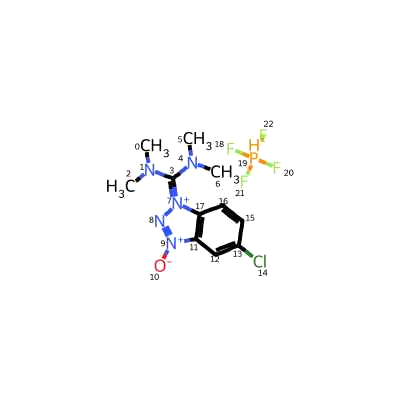 CN(C)C(N(C)C)=[N+]1N=[N+]([O-])c2cc(Cl)ccc21.F[PH-](F)(F)F